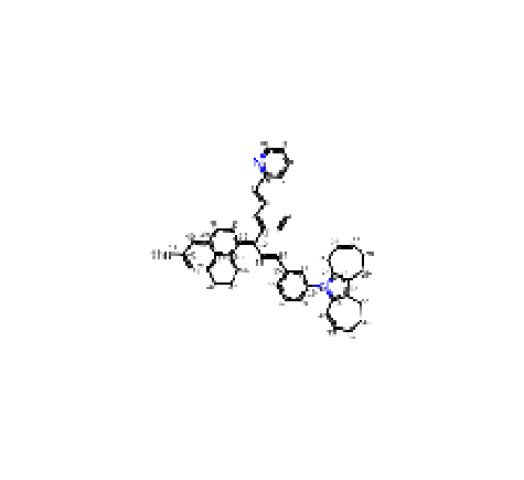 C=CC(=C\C=C\c1ccccn1)/C(/C=C/c1cccc(-n2c3c(c4c2CC=CCC4)CCCC=C3)c1)=c1\cc/c(=C/C(=C)C(C)(C)C)c2c1=CCCC=2